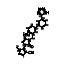 CCCCc1cn(-c2c(C#N)ccn2C)c(=O)n1Cc1cc(-c2cccc(-c3nnn[nH]3)c2)ccn1